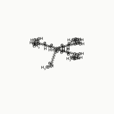 COC[C@@H]1CCCN1C(=O)CCCCCCCCCCC(=O)NC(CCCCC(=O)NCCCNC(=O)CCCCOC1OC(CO)C(O)C(O)C1NC(C)=O)(COCCC(=O)NCCCNC(=O)CCCCOC1OC(CO)C(O)C(O)C1NC(C)=O)COCCC(=O)NCCCNC(=O)CCCCOC1OC(CO)C(O)C(O)C1NC(C)=O